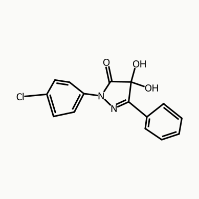 O=C1N(c2ccc(Cl)cc2)N=C(c2ccccc2)C1(O)O